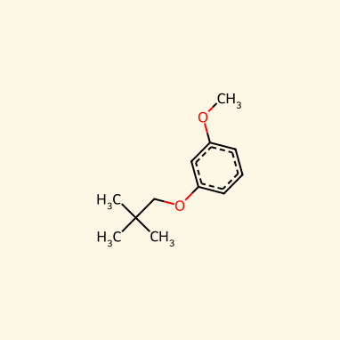 COc1cccc(OCC(C)(C)C)c1